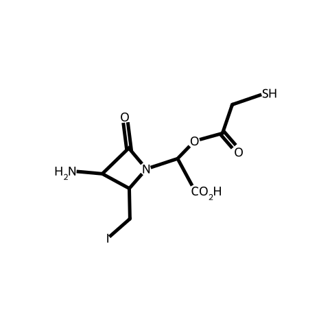 NC1C(=O)N(C(OC(=O)CS)C(=O)O)C1CI